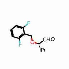 CC(C)[C@@H](C=O)OCc1c(F)cccc1F